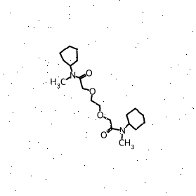 CN(C(=O)COCCOCC(=O)N(C)C1CCCCC1)C1CCCCC1